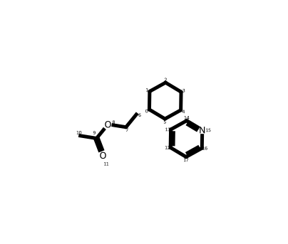 C1CCCCC1.CCOC(C)=O.c1ccncc1